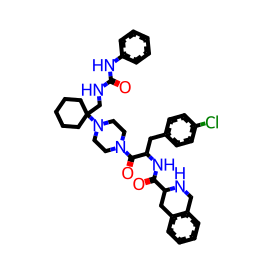 O=C(NCC1(N2CCN(C(=O)C(Cc3ccc(Cl)cc3)NC(=O)C3Cc4ccccc4CN3)CC2)CCCCC1)Nc1ccccc1